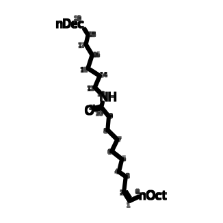 CCCCCCCC/C=C\CCCCCCCC(=O)NCCCCCCCCCCCCCCCC